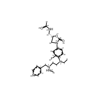 CCN(CCN(Cc1ccncc1)NC)c1ccc(N2C[C@H](CNC(C)=O)OC2=O)cc1F